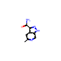 Cc1cc2c(C(N)=O)n[nH]c2cn1